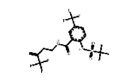 C=C(CCNC(=O)c1cc(C(F)(F)F)ccc1NS(=O)(=O)C(C)(C)C)C(F)(F)F